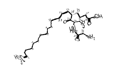 CCCCCCCCCCCC/C=C\[C@H](CCCC(=O)O)C(=O)C(CS)NC(=O)CN